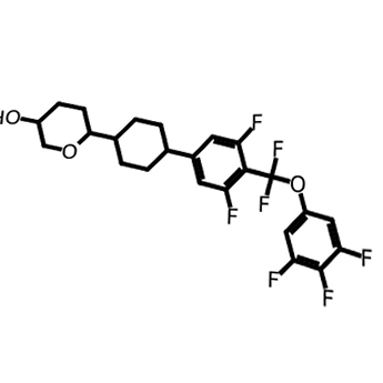 OC1CCC(C2CCC(c3cc(F)c(C(F)(F)Oc4cc(F)c(F)c(F)c4)c(F)c3)CC2)OC1